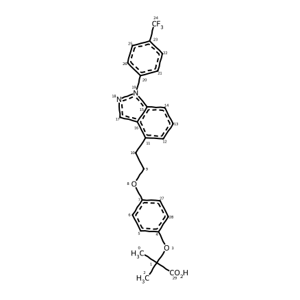 CC(C)(Oc1ccc(OCCc2cccc3c2cnn3-c2ccc(C(F)(F)F)cc2)cc1)C(=O)O